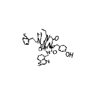 C=CCN1CC(=O)N2[C@@H](Cc3ccc(O)cc3)C(=O)N(Cc3cccc4scnc34)C[C@@H]2N1C(=O)NCCc1cccs1